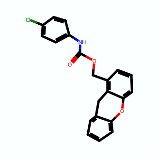 O=C(Nc1ccc(Cl)cc1)OCc1cccc2c1Cc1ccccc1O2